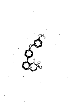 Cc1cccc(Oc2ccc(-c3ccc[n+]4c3NS(=O)(=O)CC4)cc2)c1